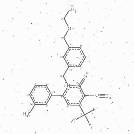 [C-]#[N+]c1c(C(F)(F)F)cc(-c2cccc(C)c2)n(Cc2cccc(COCC)c2)c1=O